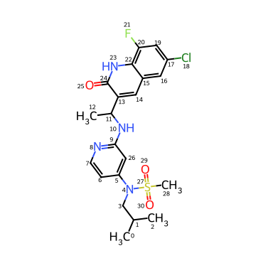 CC(C)CN(c1ccnc(NC(C)c2cc3cc(Cl)cc(F)c3[nH]c2=O)c1)S(C)(=O)=O